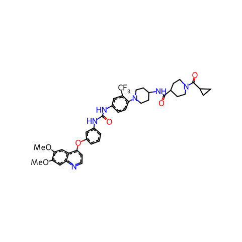 COc1cc2nccc(Oc3cccc(NC(=O)Nc4ccc(N5CCC(NC(=O)C6CCN(C(=O)C7CC7)CC6)CC5)c(C(F)(F)F)c4)c3)c2cc1OC